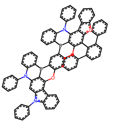 c1ccc(-c2cccc(-c3ccccc3)c2-c2c3c4c(c5c2oc2ccccc25)N(c2ccccc2)c2ccccc2B4c2cc4c(cc2O3)Oc2c3c(cc5c2c2ccccc2n5-c2ccccc2)N(c2ccccc2)c2ccccc2B43)cc1